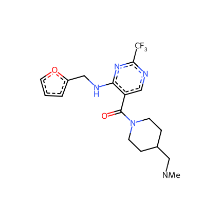 CNCC1CCN(C(=O)c2cnc(C(F)(F)F)nc2NCc2ccco2)CC1